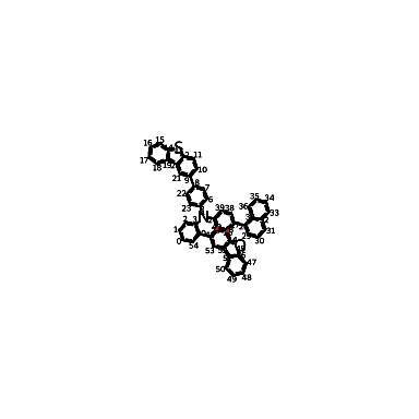 c1ccc(N(c2ccc(-c3ccc4sc5ccccc5c4c3)cc2)c2ccc(-c3cccc4ccccc34)cc2)c(-c2ccc3oc4ccccc4c3c2)c1